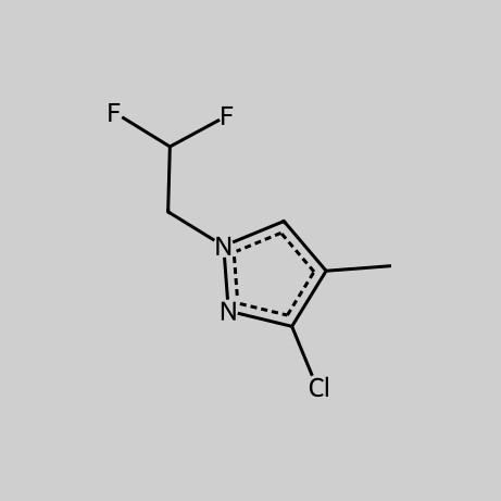 Cc1cn(CC(F)F)nc1Cl